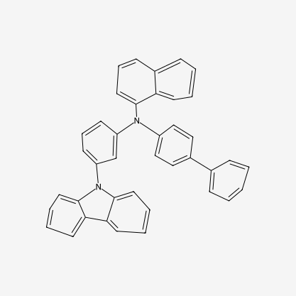 c1ccc(-c2ccc(N(c3cccc(-n4c5ccccc5c5ccccc54)c3)c3cccc4ccccc34)cc2)cc1